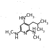 CNc1cc(NC)c(C[C](C)C)c(NC)n1